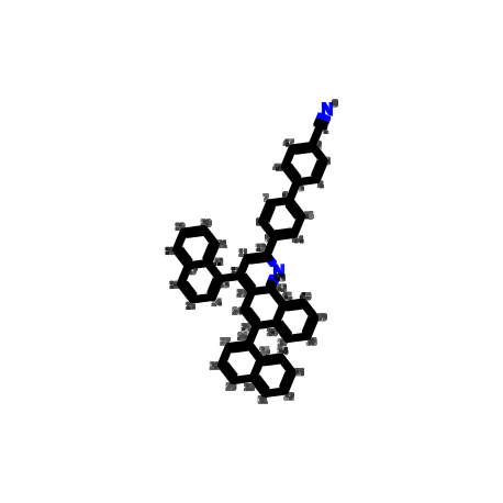 N#Cc1ccc(-c2ccc(-c3cc(-c4cccc5ccccc45)c4cc(-c5cccc6ccccc56)c5ccccc5c4n3)cc2)cc1